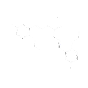 Br.CCOc1ccc(Cl)cc1/C=N/NC(=N)N/N=C/c1cc(Cl)ccc1OCC